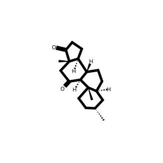 C[C@@H]1CC[C@@]2(C)[C@@H](CC[C@@H]3[C@@H]2C(=O)C[C@]2(C)C(=O)CC[C@@H]32)C1